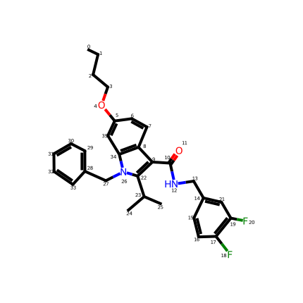 CCCCOc1ccc2c(C(=O)NCc3ccc(F)c(F)c3)c(C(C)C)n(Cc3ccccc3)c2c1